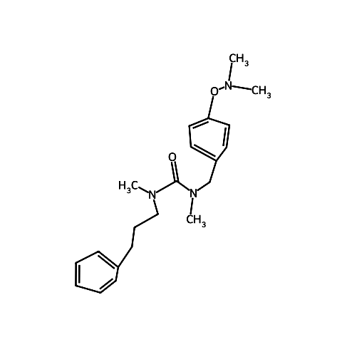 CN(C)Oc1ccc(CN(C)C(=O)N(C)CCCc2ccccc2)cc1